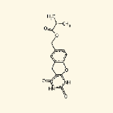 CC(C)C(=O)OCc1ccc2c(c1)Cc1c([nH]c(=O)[nH]c1=O)O2